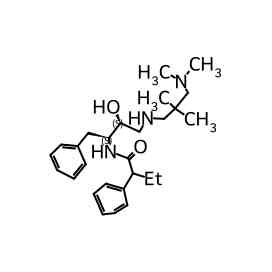 CCC(C(=O)N[C@@H](Cc1ccccc1)[C@@H](O)CNCC(C)(C)CN(C)C)c1ccccc1